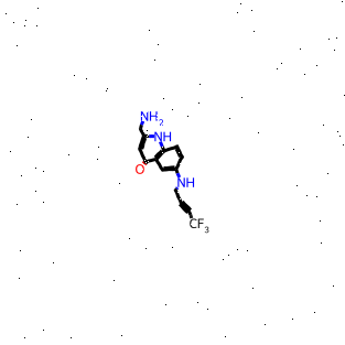 NCc1cc(=O)c2cc(NCC#CC(F)(F)F)ccc2[nH]1